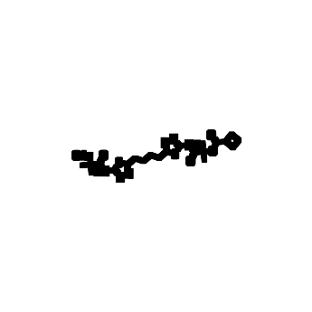 CC(=O)OC(C)(C)C(=O)Nc1nnc(CCCCc2nnc(NC(=O)C(C)(C)OC(=O)C3CCC3)s2)s1